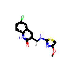 COc1csc(N[C@H](C)c2cc3cc(Cl)ccc3[nH]c2=O)n1